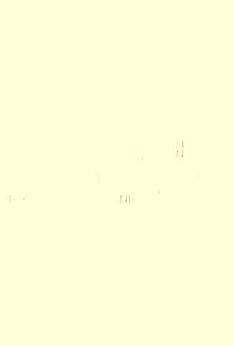 CC1CCC(CC(=O)NC2COC3C(NC(=O)C4CC4)COC23)CC1